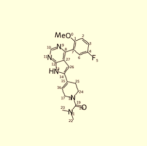 COc1ccc(F)cc1-c1ncnc2[nH]c(C3=CCN(C(=O)N(C)C)CC3)cc12